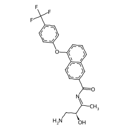 C/C(=N\C(=O)c1ccc2c(Oc3ccc(C(F)(F)F)cc3)cccc2c1)[C@@H](O)CN